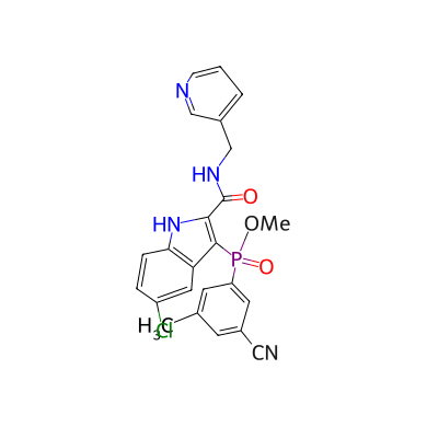 COP(=O)(c1cc(C)cc(C#N)c1)c1c(C(=O)NCc2cccnc2)[nH]c2ccc(Cl)cc12